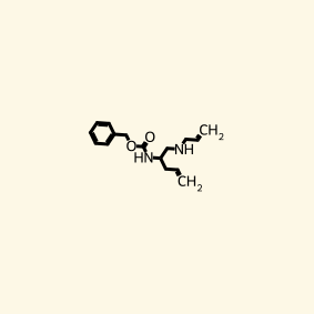 C=CCNCC(CC=C)NC(=O)OCc1ccccc1